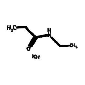 CCNC(=O)CC.[KH]